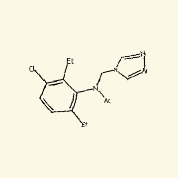 CCc1ccc(Cl)c(CC)c1N(Cn1cnnc1)C(C)=O